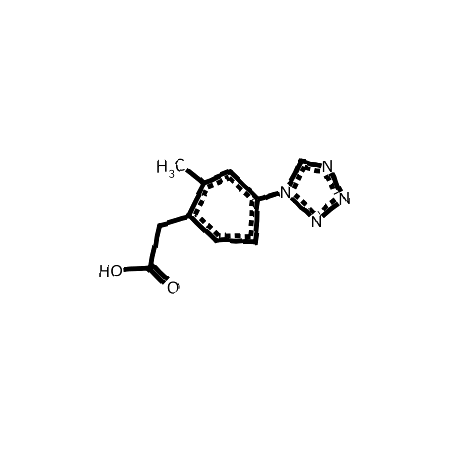 Cc1cc(-n2cnnn2)ccc1CC(=O)O